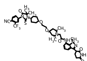 C[C@@H]1C[C@H](OCCO[C@H]2CC[C@H](N3C(=S)N(c4ccc(C#N)c(C(F)(F)F)c4)C(=O)C3(C)C)CC2)C[C@H](C)N1CC(=O)Nc1cccc2c(C3CCC(=O)NC3=O)nn(C)c12